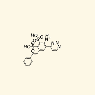 Nc1c(-c2ccnnn2)cc(C=Cc2ccccc2)c(S(=O)(=O)O)c1S(=O)(=O)O